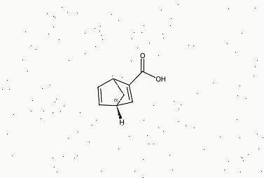 O=C(O)C1=C[C@@H]2C=CC1C2